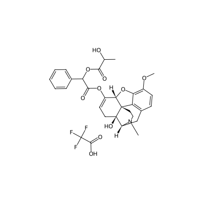 COc1ccc2c3c1O[C@H]1C(OC(=O)C(OC(=O)C(C)O)c4ccccc4)=CC[C@@]4(O)[C@@H](C2)N(C)CC[C@]314.O=C(O)C(F)(F)F